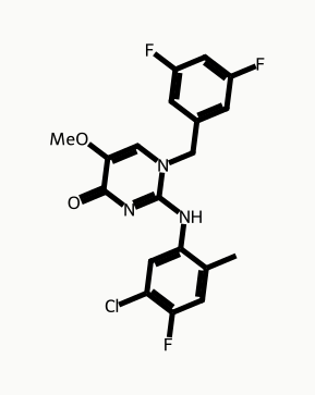 COc1cn(Cc2cc(F)cc(F)c2)c(Nc2cc(Cl)c(F)cc2C)nc1=O